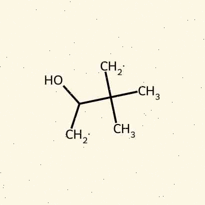 [CH2]C(O)C([CH2])(C)C